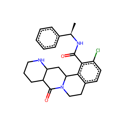 C[C@@H](NC(=O)c1c(Cl)ccc2c1C1CC3NCCCC3C(=O)N1CC2)c1ccccc1